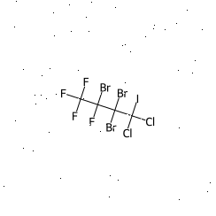 FC(F)(F)C(F)(Br)C(Br)(Br)C(Cl)(Cl)I